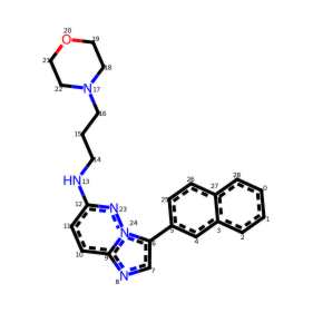 c1ccc2cc(-c3cnc4ccc(NCCCN5CCOCC5)nn34)ccc2c1